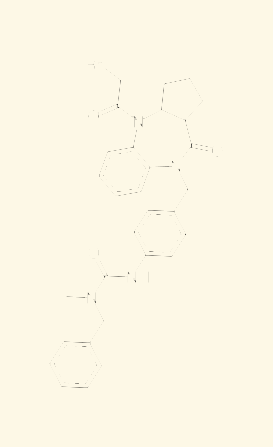 CN(Cc1ccccc1)C(=O)Nc1ccc(CN2C(=O)C3CCCC3N(C(=O)CBr)c3ccccc32)cc1